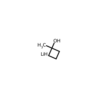 CC1(O)CCC1.[LiH]